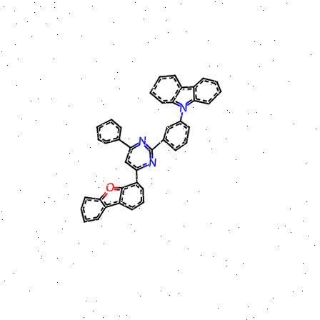 c1ccc(-c2cc(-c3cccc4c3oc3ccccc34)nc(-c3cccc(-n4c5ccccc5c5ccccc54)c3)n2)cc1